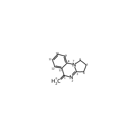 C=C1N=C2CCCN2c2ccccc21